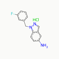 Cl.Nc1ccc2c(cnn2Cc2cccc(F)c2)c1